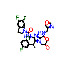 CC(=O)Cn1c(C(=O)NCc2cocn2)nc(NC(=O)N2CCc3cc(F)c(F)cc32)c1[C@@H](C)c1cc(F)ccc1Cl